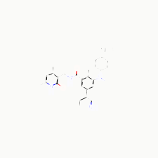 C/C=C(\C=N)c1cc(C(=O)NCc2c(C)cc(C)[nH]c2=O)c(C)c(N(C)[C@H]2CC[C@@H](NC(C)=O)CC2)c1